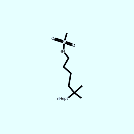 CCCCCCCC(C)(C)CCCCNS(C)(=O)=O